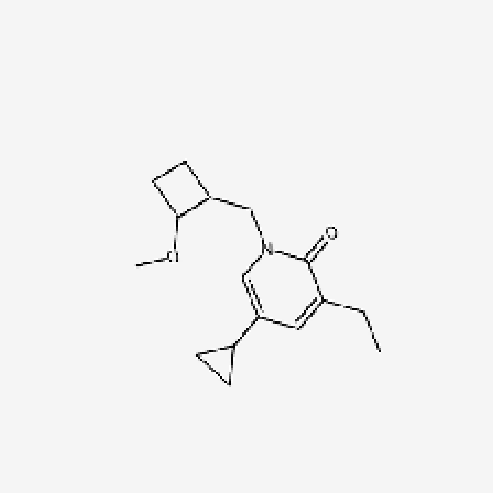 CCc1cc(C2CC2)cn(CC2CCC2OC)c1=O